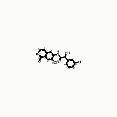 NC(C(=O)Nc1cc2cc[nH]c(=O)c2cc1Cl)c1cccc(Cl)c1